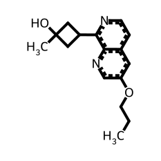 CCCOc1cnc2c(C3CC(C)(O)C3)nccc2c1